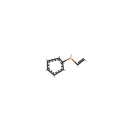 C=CSc1[c]cccc1